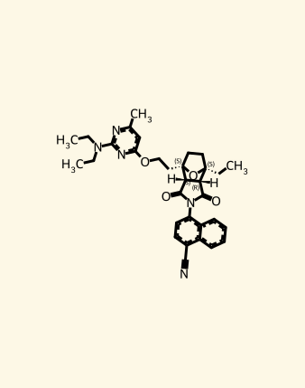 CCN(CC)c1nc(C)cc(OCC[C@]23CC[C@](CC)(O2)[C@@H]2C(=O)N(c4ccc(C#N)c5ccccc45)C(=O)[C@@H]23)n1